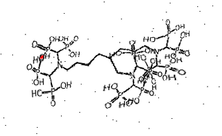 O=P(O)(O)C(N(CCCCC(CCCN(C(P(=O)(O)O)P(=O)(O)O)C(P(=O)(O)O)P(=O)(O)O)CN(C(P(=O)(O)O)P(=O)(O)O)C(P(=O)(O)O)P(=O)(O)O)C(P(=O)(O)O)P(=O)(O)O)P(=O)(O)O